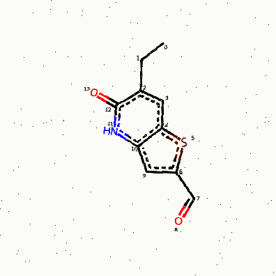 CCc1cc2sc(C=O)cc2[nH]c1=O